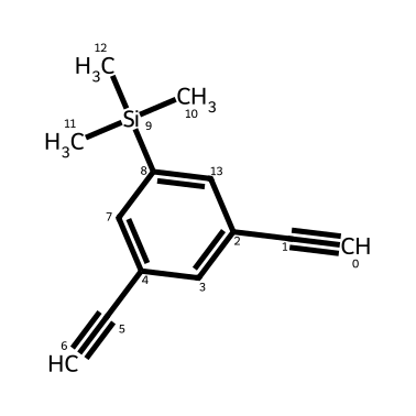 C#Cc1cc(C#C)cc([Si](C)(C)C)c1